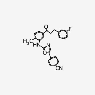 Cc1ccc(C(=O)CCc2cccc(F)c2)cc1Nc1ncc(-c2ccc(C#N)cc2)o1